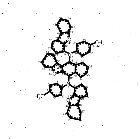 Cc1ccc(N(c2cccc3c2oc2ccccc23)c2c3ccccc3c(N(c3ccc(C)cc3)c3cccc4c3oc3ccccc34)c3c2oc2ccccc23)cc1